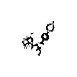 CC[C@H]1CN(C(=O)[C@@H](NC(=O)c2ccc(N3CCN(C)CC3)cc2)C(C)(C)CC)[C@@H]2C(=O)CO[C@H]12